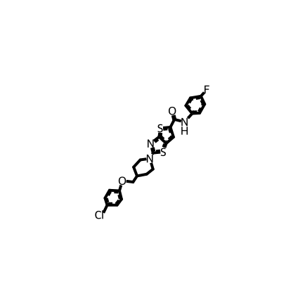 O=C(Nc1ccc(F)cc1)c1cc2sc(N3CCC(COc4ccc(Cl)cc4)CC3)nc2s1